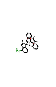 CC1=Cc2c(Br)cccc2[CH]1[Zr]([CH2]c1ccccc1)([CH2]c1ccccc1)[C]1=C(C)C(C)=C(C)C1(C)C